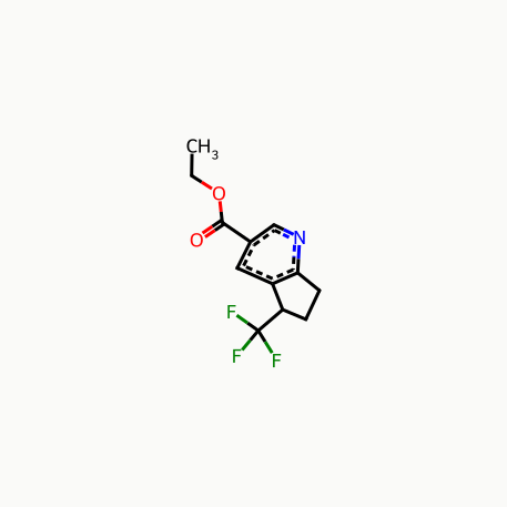 CCOC(=O)c1cnc2c(c1)C(C(F)(F)F)CC2